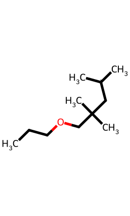 CCCOCC(C)(C)C[C](C)C